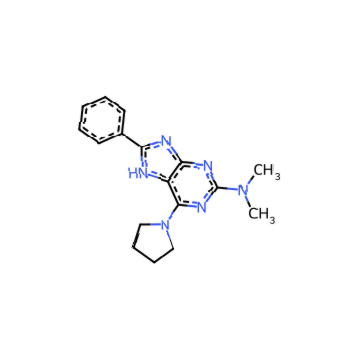 CN(C)c1nc(N2CCCC2)c2[nH]c(-c3ccccc3)nc2n1